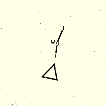 [CH]1CC1.[I][Mg][I]